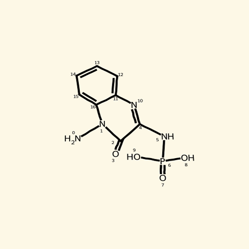 Nn1c(=O)c(NP(=O)(O)O)nc2ccccc21